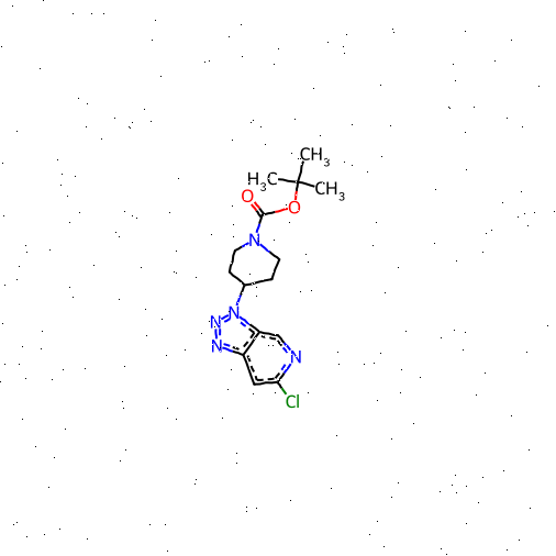 CC(C)(C)OC(=O)N1CCC(n2nnc3cc(Cl)ncc32)CC1